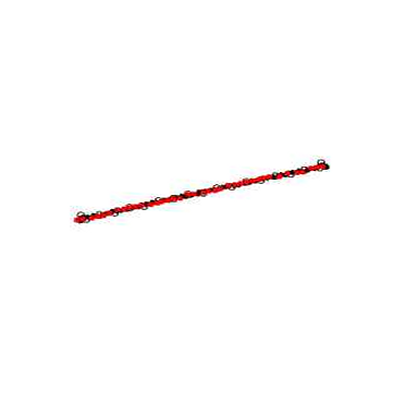 C=C(C)C(=O)OCCCCOCCCCOCCCCOCCCCOCCCCOCCCCOCCCCOCCCCOCCCCOCCCCOCCCCOCCCCOCCCCOCCCCOCCCCOCCCCOC(=O)C(=C)C